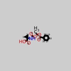 CC(OC(=O)NC1(C(=O)O)CC1)OC(=O)c1ccccc1